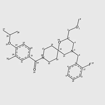 COCC1CN(Cc2ccccc2F)CC2(CCN(C(=O)c3ccc(OC(C)C)c(C)c3)CC2)O1